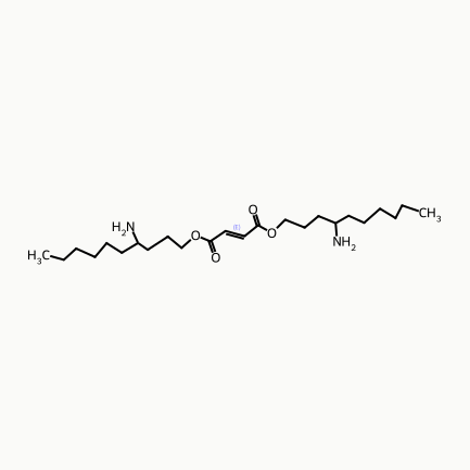 CCCCCCC(N)CCCOC(=O)/C=C/C(=O)OCCCC(N)CCCCCC